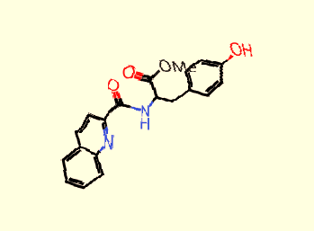 COC(=O)C(Cc1ccc(O)cc1)NC(=O)c1ccc2ccccc2n1